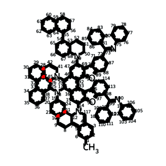 Cc1ccc2c(c1)=C1C=CC=CC1N(c1cc3c(N(c4ccccc4)c4cc5ccccc5c5ccccc45)c(N4C=CC=CC4)c4cc(N5CC=Cc6c(-c7cccc8ccccc78)cccc65)c5c6cc(/C(=N/c7ccccc7)c7ccccc7)ccc6oc5c4c3c3c1oc1c(/C(=N/c4ccccc4)c4ccccc4)cccc13)C=2